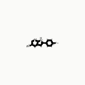 CC(C)c1cnc2[nH]c(-c3ccc(F)cc3)cc2c1